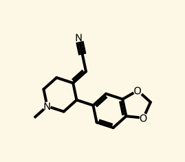 CN1CCC(=CC#N)C(c2ccc3c(c2)OCO3)C1